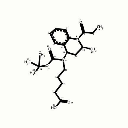 CCC(=O)N1c2ccccc2[C@H](N(CCCCC(=O)O)C(=O)OC(C)(C)C)C[C@@H]1C